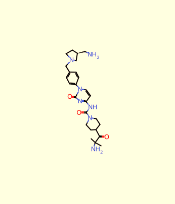 CC(C)(N)C(=O)C1CCN(C(=O)Nc2ccn(-c3ccc(CN4CC[C@@H](CN)C4)cc3)c(=O)n2)CC1